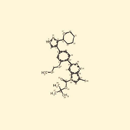 COCOc1cc(-c2c[nH]nc2C2CCCCO2)ccc1-c1cc2c(nn1)c(I)cn2C(=O)OC(C)(C)C